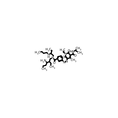 CCCCNC(CC)CN(CC(CC)C(N)CCC)C(=O)c1cccc(/N=N\c2c(C)c(C(=O)NC(C)C)c(=O)n(CC)c2O)c1